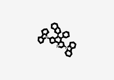 c1ccc(-c2c(-c3ccc4ccccc4c3)c3cc(-n4c5ccccc5c5ccccc54)ccc3c3ncc(-n4c5ccccc5c5ccccc54)cc23)cc1